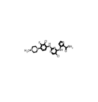 CN1CCN(c2ccc(Nc3ncc(Cl)c(Nc4ccsc4C(N)=O)n3)c(Cl)c2F)CC1